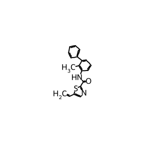 C=Cc1cnc(C(=O)Nc2cccc(-c3ccccc3)c2C)s1